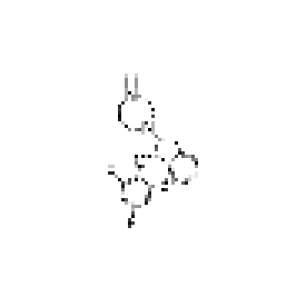 Fc1cc(F)c(O[C@@H]2c3ccccc3C[C@H]2N2CCCNCC2)c(Br)c1